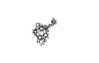 CCn1c2ccccc2c2cc(CN3CC[C@H](Oc4ccc(C(=O)NCCCN5CCCC5)cc4Cl)C3)ccc21